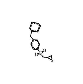 O=S(=O)(CC1CS1)c1ccc(Cc2ccccc2)cc1